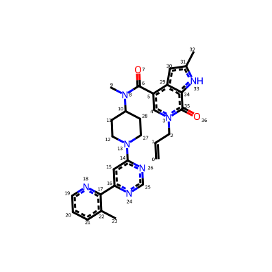 C=CCn1cc(C(=O)N(C)C2CCN(c3cc(-c4ncccc4C)ncn3)CC2)c2cc(C)[nH]c2c1=O